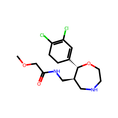 COCC(=O)NC[C@@H]1CNCCO[C@H]1C1=CC(Cl)=C(Cl)CC1